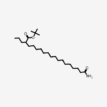 CCCC(CCCCCCCCCCCCCCCC(N)=O)C(=O)OC(C)(C)C